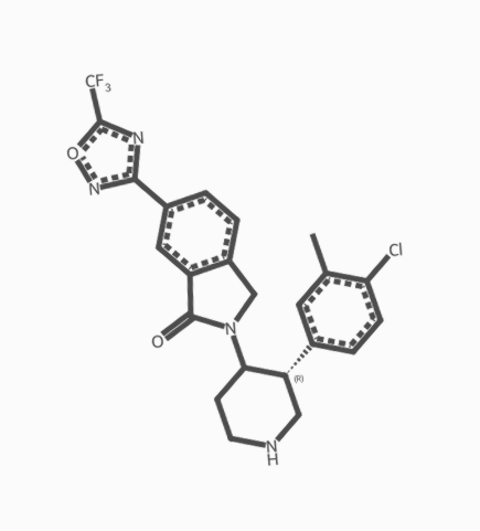 Cc1cc([C@@H]2CNCCC2N2Cc3ccc(-c4noc(C(F)(F)F)n4)cc3C2=O)ccc1Cl